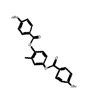 CCCCc1ccc(C(=O)Oc2ccc(OC(=O)c3ccc(CCCC)cc3)c(C)c2)cc1